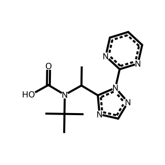 CC(c1ncnn1-c1ncccn1)N(C(=O)O)C(C)(C)C